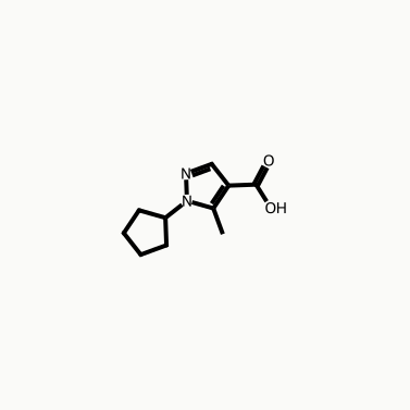 Cc1c(C(=O)O)cnn1C1CCCC1